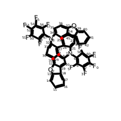 Fc1c(F)c(F)c(N(c2ccc3oc4ccccc4c3c2)c2ccccc2-c2ccccc2N(c2ccc3oc4ccccc4c3c2)c2c(F)c(F)c(F)c(F)c2F)c(F)c1F